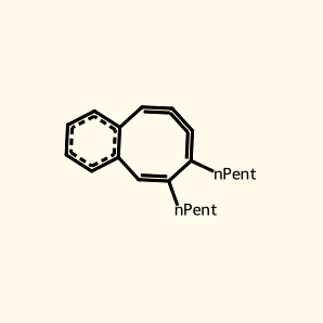 CCCCCC1=C=C=Cc2ccccc2C=C1CCCCC